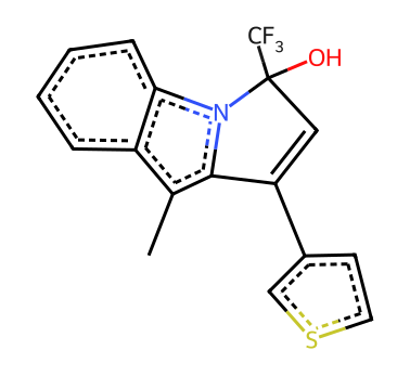 Cc1c2n(c3ccccc13)C(O)(C(F)(F)F)C=C2c1ccsc1